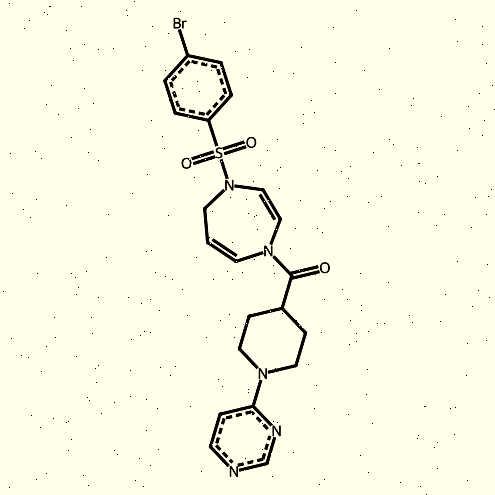 O=C(C1CCN(c2ccncn2)CC1)N1C=CCN(S(=O)(=O)c2ccc(Br)cc2)C=C1